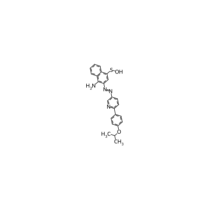 CC(C)Oc1ccc(-c2ccc(/N=N/c3cc(SO)c4ccccc4c3N)cn2)cc1